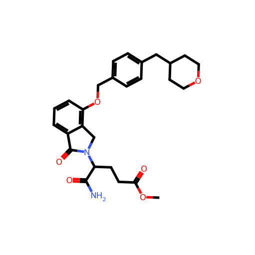 COC(=O)CCC(C(N)=O)N1Cc2c(OCc3ccc(CC4CCOCC4)cc3)cccc2C1=O